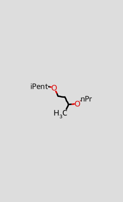 CCCOC(C)CCOC(C)CCC